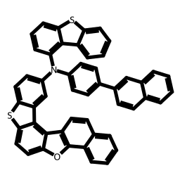 c1ccc2cc(-c3ccc(N(c4ccc5sc6ccc7oc8c9ccccc9ccc8c7c6c5c4)c4cccc5sc6ccccc6c45)cc3)ccc2c1